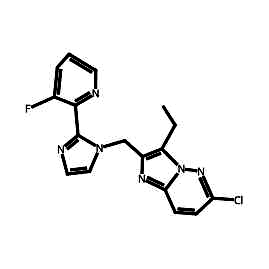 CCc1c(Cn2ccnc2-c2ncccc2F)nc2ccc(Cl)nn12